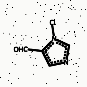 O=Cc1cncn1Cl